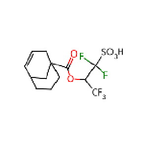 O=C(OC(C(F)(F)F)C(F)(F)S(=O)(=O)O)C12CC=CC(CCC1)C2